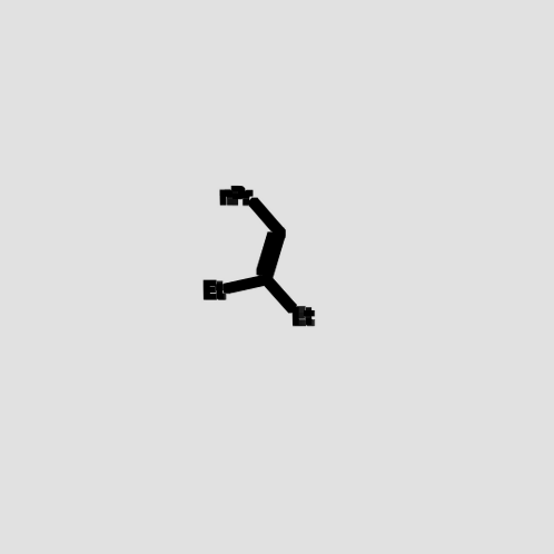 CCCC=C(CC)CC